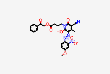 COc1ccc(/N=N/c2c(C)c(C#N)c(=O)n(CCCC(=O)OCC(=O)c3ccccc3)c2O)c([N+](=O)[O-])c1